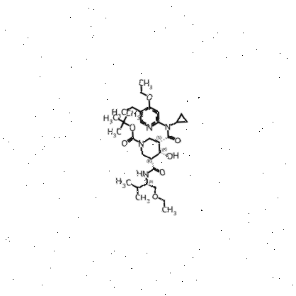 CCOC[C@H](NC(=O)[C@@H]1CN(C(=O)OC(C)(C)C)C[C@H](C(=O)N(c2cc(OCC)c(CC)cn2)C2CC2)[C@@H]1O)C(C)C